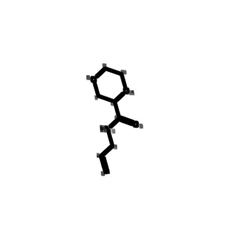 C=CCNC(=O)C1COCCO1